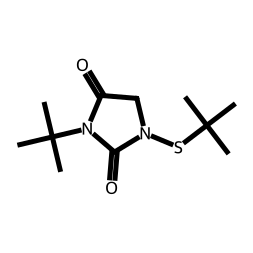 CC(C)(C)SN1CC(=O)N(C(C)(C)C)C1=O